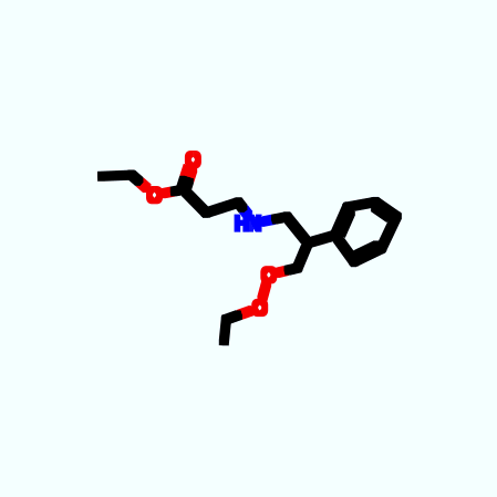 CCOOCC(CNCCC(=O)OCC)c1ccccc1